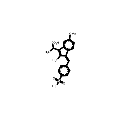 COc1ccc2c(c1)C(C(C)C(=O)O)=C(C)/C2=C\c1ccc(S(C)(=O)=O)cc1